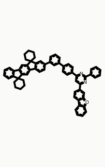 c1ccc(-c2nc(-c3ccc(-c4cccc(-c5ccc6c(c5)C5(CCCCC5)c5cc7c(cc5-6)C5(CCCCC5)c5ccccc5-7)c4)cc3)cc(-c3ccc4c(c3)oc3ccccc34)n2)cc1